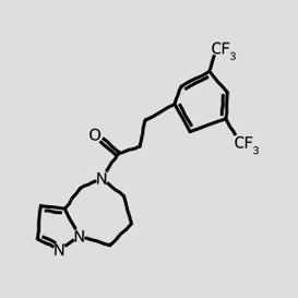 O=C(CCc1cc(C(F)(F)F)cc(C(F)(F)F)c1)N1CCCn2nccc2C1